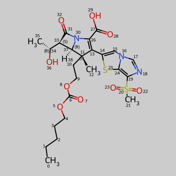 CCCCCOC(=O)OCC[C@@]1(C)C(c2cn3cnc(S(C)(=O)=O)c3s2)=C(C(=O)O)N2C(=O)[C@H]([C@@H](C)O)[C@@H]21